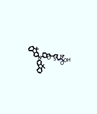 C=N/C(=C\c1ccc(-c2cc3ccc(N(c4ccc5c(c4)C(C)(C)c4ccccc4-5)c4ccc5c(c4)C(C)(C)c4ccccc4-5)cc3o2)s1)C(=O)O